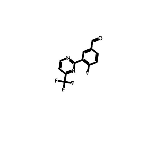 O=Cc1ccc(F)c(-c2nccc(C(F)(F)F)n2)c1